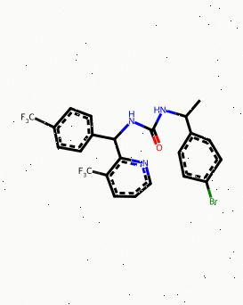 CC(NC(=O)NC(c1ccc(C(F)(F)F)cc1)c1ncccc1C(F)(F)F)c1ccc(Br)cc1